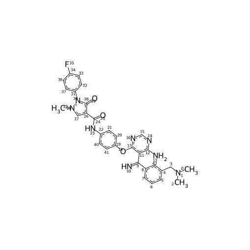 CN(C)Cc1cccc(C(=N)c2c(N)ncnc2Oc2ccc(NC(=O)c3cn(C)n(-c4ccc(F)cc4)c3=O)cc2)c1